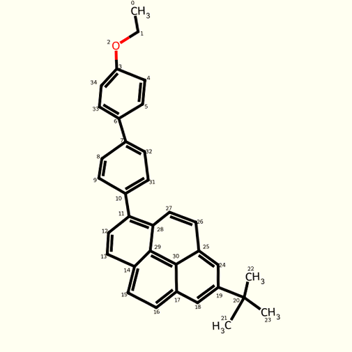 CCOc1ccc(-c2ccc(-c3ccc4ccc5cc(C(C)(C)C)cc6ccc3c4c56)cc2)cc1